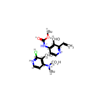 C=Cc1nccc(NC(=O)OC(C)(C)C)c1C=O.CC(C)(C)N(C(=O)O)c1ccnc(Cl)c1C=O